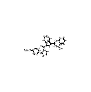 CC[C@@H](NC(=O)c1cc(C(=O)N2CCCC2c2ccc(OC)nc2)n2c1COCC2)c1ccccc1